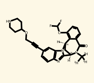 [2H]C([2H])([2H])N1C(=O)c2cccc(OC(F)F)c2[C@H]2C[C@@H]1c1nc3ccc(C#CCOC4CCNCC4)cc3n12